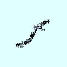 Cc1ncsc1-c1ccc(C(C)NC(=O)[C@@H]2C[C@@H](O)CN2C(=O)C(NC(=O)CCCNC(=O)c2cccc(CN3CCN(S(=O)(=O)c4ccc(NC(=S)NCc5cccnc5)cc4)CC3)c2)C(C)(C)C)cc1